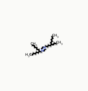 CCCCCCCC(CCCCCC)CN1CCN(CCCCC(CCCC)CCCCCC)CC1